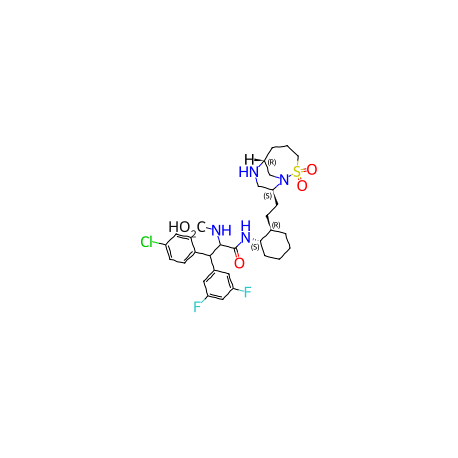 O=C(O)NC(C(=O)N[C@H]1CCCC[C@@H]1CC[C@H]1CN[C@@H]2CCCS(=O)(=O)N1C2)C(c1ccc(Cl)cc1)c1cc(F)cc(F)c1